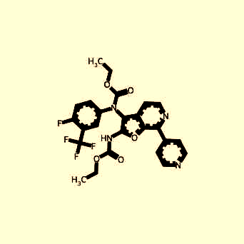 CCOC(=O)Nc1oc2c(-c3ccncc3)nccc2c1N(C(=O)OCC)c1ccc(F)c(C(F)(F)F)c1